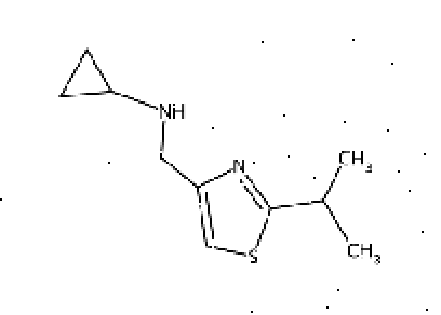 CC(C)c1nc(CNC2CC2)cs1